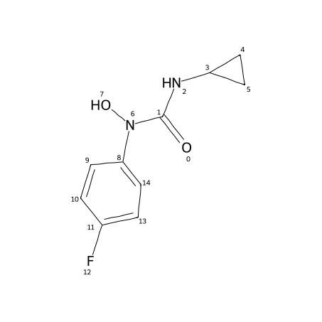 O=C(NC1CC1)N(O)c1ccc(F)cc1